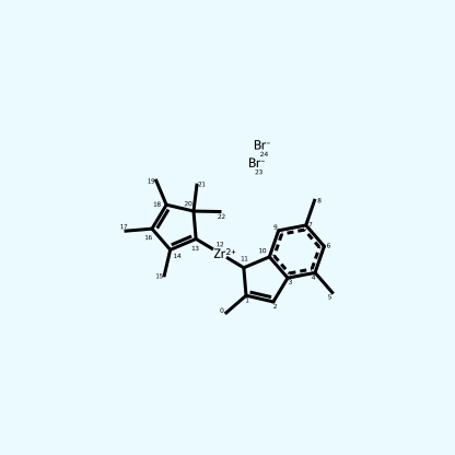 CC1=Cc2c(C)cc(C)cc2[CH]1[Zr+2][C]1=C(C)C(C)=C(C)C1(C)C.[Br-].[Br-]